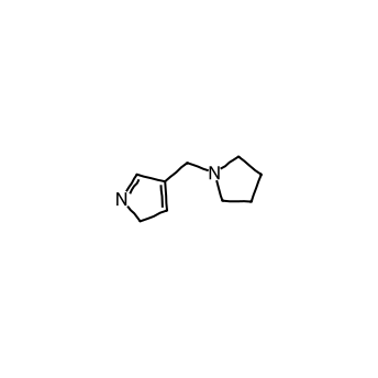 C1=NCC=C1CN1CCCC1